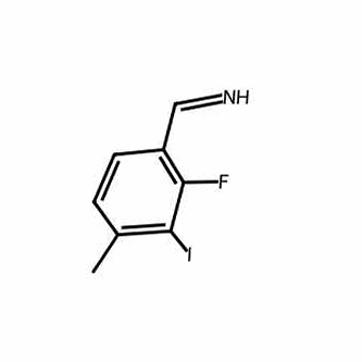 Cc1ccc(C=N)c(F)c1I